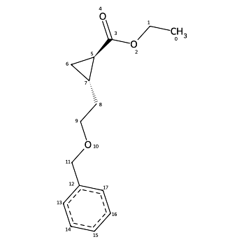 CCOC(=O)[C@@H]1C[C@H]1CCOCc1ccccc1